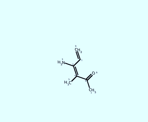 C=C/C(N)=C(/C)C(C)=O